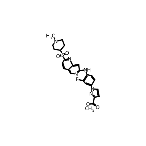 COC(=O)c1ccn(-c2ccc(Nc3cc4nc(S(=O)(=O)C5CCN(C)CC5)ccc4cn3)c(F)c2)n1